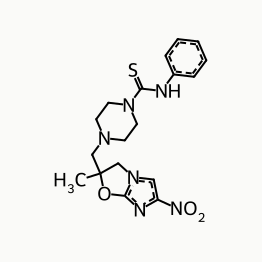 CC1(CN2CCN(C(=S)Nc3ccccc3)CC2)Cn2cc([N+](=O)[O-])nc2O1